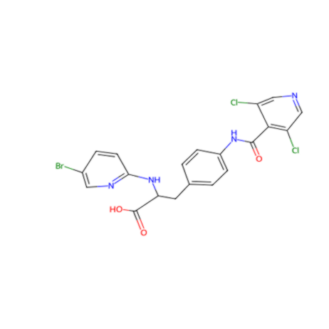 O=C(Nc1ccc(CC(Nc2ccc(Br)cn2)C(=O)O)cc1)c1c(Cl)cncc1Cl